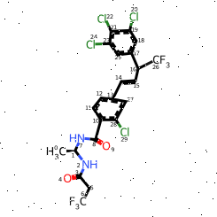 C[C@H](NC(=O)CC(F)(F)F)NC(=O)c1ccc(/C=C/C(c2cc(Cl)c(Cl)c(Cl)c2)C(F)(F)F)cc1Cl